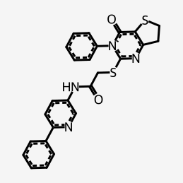 O=C(CSc1nc2c(c(=O)n1-c1ccccc1)SCC2)Nc1ccc(-c2ccccc2)nc1